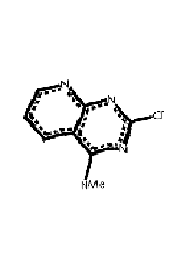 CNc1nc(Cl)nc2ncccc12